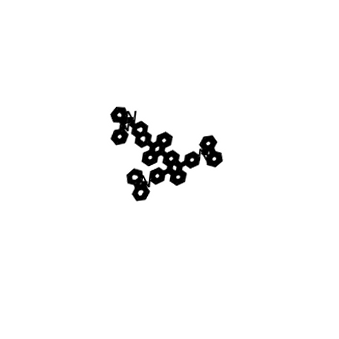 C1=Cc2c(c3c(n2-c2ccc(-c4c5ccccc5c(-c5ccc(-n6c7ccccc7c7ccccc76)cc5)c5ccc(-c6c7ccccc7c(C7=CC8CC=C(c9nc%10ccccc%10n9-c9ccccc9)C=C8C=C7)c7ccccc67)cc45)cc2)C=CCC3)CC1